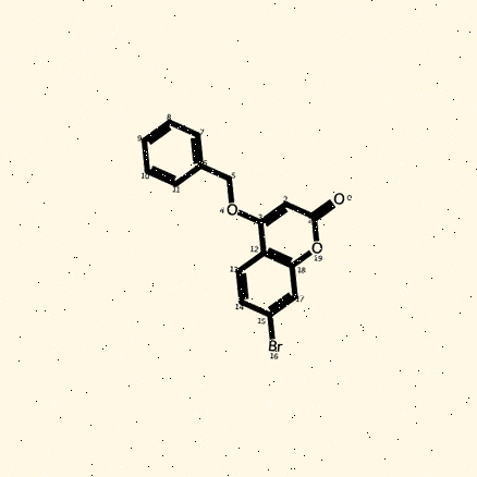 O=c1cc(OCc2ccccc2)c2ccc(Br)cc2o1